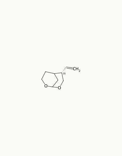 C=C[C@@H]1COC2CC1CCO2